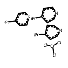 CC(C)c1ccncc1.CC(C)c1ccncc1.CC(C)c1ccncc1.[Cl][Cr]([Cl])[Cl]